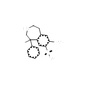 COc1cc2c(cc1S(N)(=O)=O)C(Cl)(c1ccccc1)CNCC2